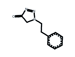 O=C1CN(CCc2ccccc2)N=N1